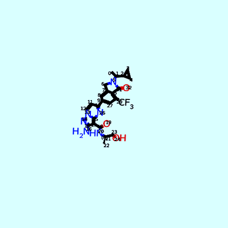 CC(C1CC1)N1Cc2cc(-c3ccn4nc(N)c(C(=O)N[C@H](C)CO)c4n3)cc(C(F)(F)F)c2C1=O